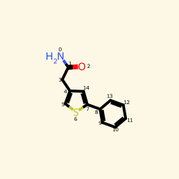 NC(=O)Cc1csc(-c2ccccc2)c1